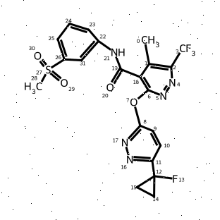 Cc1c(C(F)(F)F)nnc(Oc2ccc(C3(F)CC3)nn2)c1C(=O)Nc1cccc(S(C)(=O)=O)c1